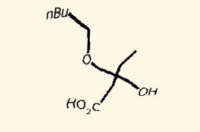 CCCCCOC(C)(O)C(=O)O